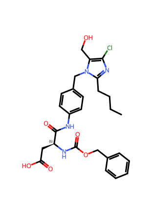 CCCCc1nc(Cl)c(CO)n1Cc1ccc(NC(=O)[C@H](CC(=O)O)NC(=O)OCc2ccccc2)cc1